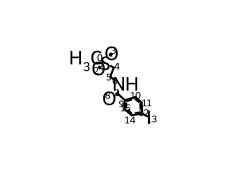 CS(=O)(=O)CCNC(=O)c1ccc(I)cc1